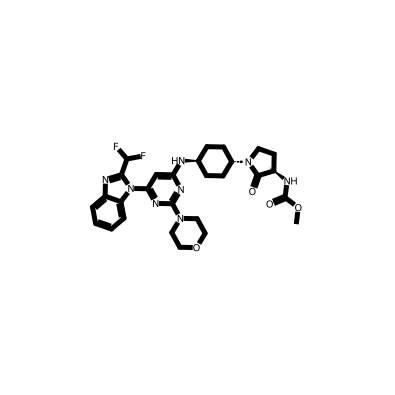 COC(=O)N[C@@H]1CCN([C@H]2CC[C@H](Nc3cc(-n4c(C(F)F)nc5ccccc54)nc(N4CCOCC4)n3)CC2)C1=O